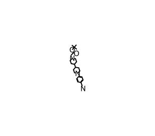 CC(C)(C)OC(=O)CN1CCC(C2CCN(c3ccc(C#N)cc3)CC2)CC1